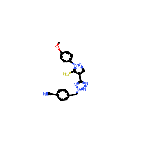 COc1ccc(-n2ncc(-c3nnn(Cc4ccc(C#N)cc4)n3)c2S)cc1